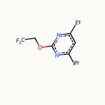 CCc1cc(C(C)C)nc(OCC(F)(F)F)n1